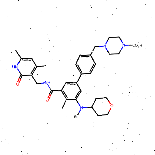 CCN(c1cc(-c2ccc(CN3CCN(C(=O)O)CC3)cc2)cc(C(=O)NCc2c(C)cc(C)[nH]c2=O)c1C)C1CCOCC1